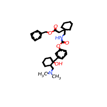 CN(C)CC1CCCCC1(O)c1cccc(OC(=O)NCC2(CC(=O)OCc3ccccc3)CCCCC2)c1